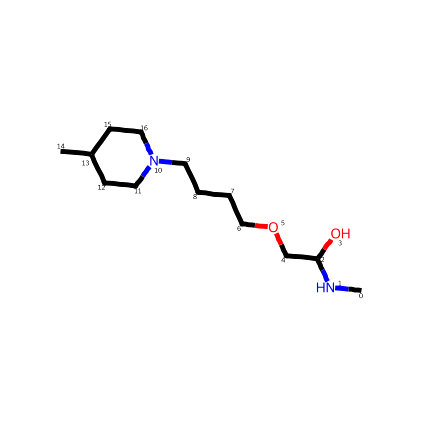 CNC(O)COCCCCN1CCC(C)CC1